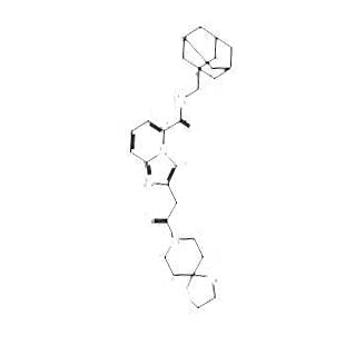 O=C(NCC12CC3CC(CC(C3)C1)C2)c1cccc2nc(CC(=O)N3CCC4(CC3)OCCO4)cn12